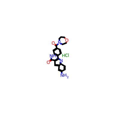 Cl.NC(=O)c1cc2cc(N)ccc2nc1-c1ccc(C(=O)N2CCCOCC2)cc1